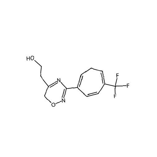 OCCC1=NC(C2=CCC=C(C(F)(F)F)C=C2)=NOC1